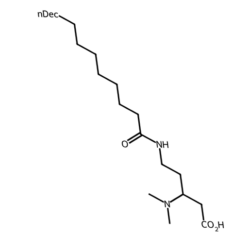 CCCCCCCCCCCCCCCCCC(=O)NCCC(CC(=O)O)N(C)C